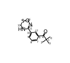 CC(C)(C)C(=O)c1cccc(C2=NOSCN2)c1